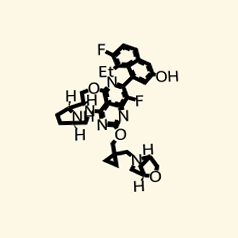 CCc1c(F)ccc2cc(O)cc(-c3nc4c5c(nc(OCC6(CN7C[C@H]8C[C@@H]7CO8)CC6)nc5c3F)N3C[C@H]5CC[C@H](N5)[C@H]3CO4)c12